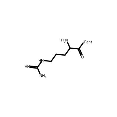 CCCC(C)C(=O)C(N)CCCNC(=N)N